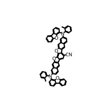 Cc1ccccc1N(c1ccc2cc3c(cc2c1)oc1c3cc(C#N)c2c3cc4ccc(N(c5ccccc5C)c5cccc6c5oc5ccccc56)cc4cc3oc12)c1cccc2c1oc1ccccc12